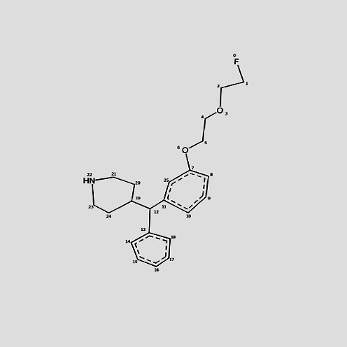 FCCOCCOc1cccc(C(c2ccccc2)C2CCNCC2)c1